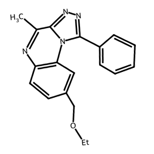 CCOCc1ccc2nc(C)c3nnc(-c4ccccc4)n3c2c1